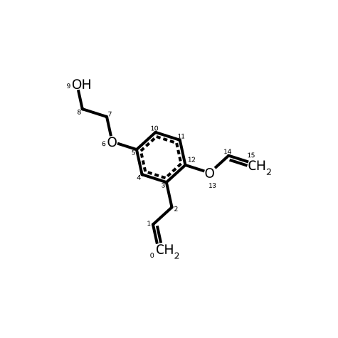 C=CCc1cc(OCCO)ccc1OC=C